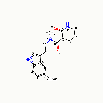 COc1ccc2[nH]cc(CCN(C)C(=O)C3CCCNC3=O)c2c1